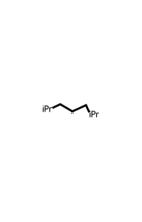 CC(C)C[C]CC(C)C